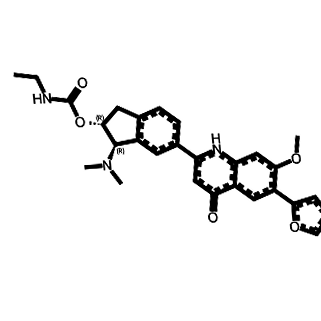 CCNC(=O)O[C@@H]1Cc2ccc(-c3cc(=O)c4cc(-c5cnco5)c(OC)cc4[nH]3)cc2[C@H]1N(C)C